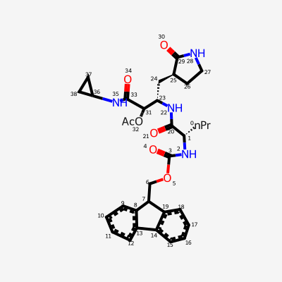 CCC[C@H](NC(=O)OCC1c2ccccc2-c2ccccc21)C(=O)N[C@@H](C[C@@H]1CCNC1=O)C(OC(C)=O)C(=O)NC1CC1